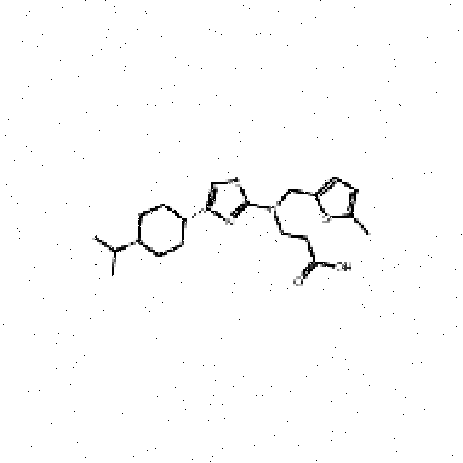 Cc1ccc(CN(CCC(=O)O)c2nc([C@H]3CC[C@H](C(C)C)CC3)cs2)s1